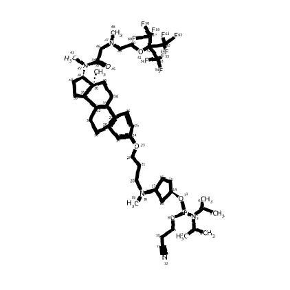 CC(C)N(C(C)C)P(OCCC#N)O[C@@H]1CCC(N(C)CCCOc2ccc3c(c2)CCC2C3CC[C@@]3(C)C2CC[C@@H]3N(C)C(=O)CN(C)CCOC(C(F)(F)F)(C(F)(F)F)C(F)(F)F)C1